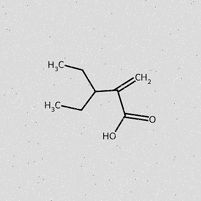 C=C(C(=O)O)C(CC)CC